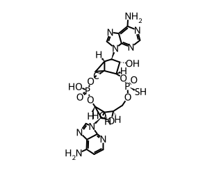 Nc1ncnc2c1ncn2[C@H]1[C@H](O)[C@@H]2O[P@@](=O)(S)OC[C@H]3O[C@@H](n4cnc5c(N)ccnc54)[C@H](OP(=O)(O)OC[C@]24C[C@H]14)[C@@H]3O